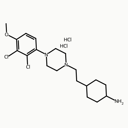 COc1ccc(N2CCN(CCC3CCC(N)CC3)CC2)c(Cl)c1Cl.Cl.Cl